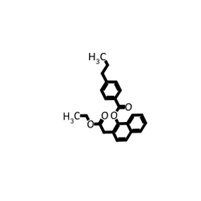 CCCc1ccc(C(=O)Oc2c(CC(=O)OCC)ccc3ccccc23)cc1